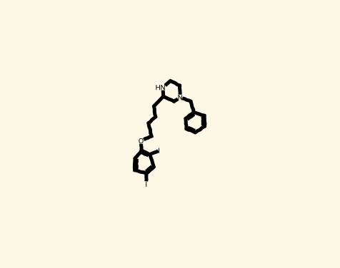 Ic1ccc(OCCCCC2CN(Cc3ccccc3)CCN2)c(I)c1